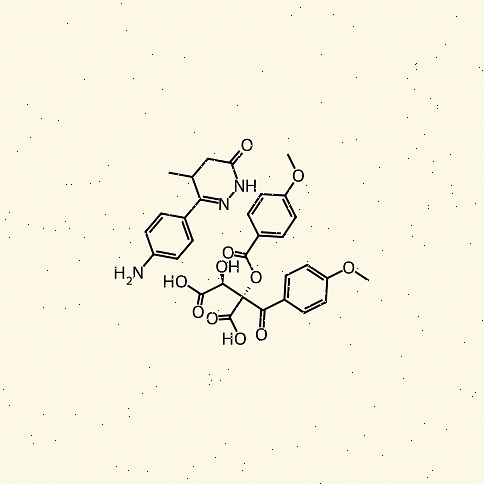 CC1CC(=O)NN=C1c1ccc(N)cc1.COc1ccc(C(=O)O[C@@](C(=O)O)(C(=O)c2ccc(OC)cc2)[C@H](O)C(=O)O)cc1